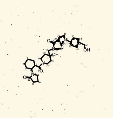 O=C(C1CCCCC1N1CCCC1=O)N1CCC(O)(Cn2cnc3c(ccn3-c3ccc(CO)cc3)c2=O)CC1